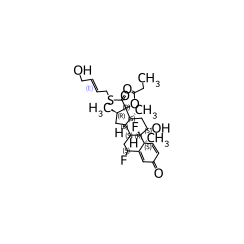 CCC(=O)O[C@]1(C(=O)SC/C=C/CO)[C@H](C)C[C@H]2[C@@H]3C[C@H](F)C4=CC(=O)C=C[C@]4(C)[C@@]3(F)[C@@H](O)C[C@@]21C